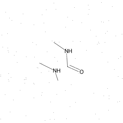 CNC.CNC=O